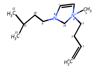 C=CCC[N+]1(C)C=CN(CCC(C)C)C1